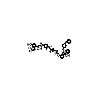 O=C(COc1cccc(C(O)(C(=O)OCC2CCN(Cc3ccccc3)CC2)c2ccccc2)c1)N[C@H]1C[C@H](NC(=O)c2ccc(CNC[C@H](O)c3ccc(O)c4[nH]c(=O)ccc34)cc2F)C1